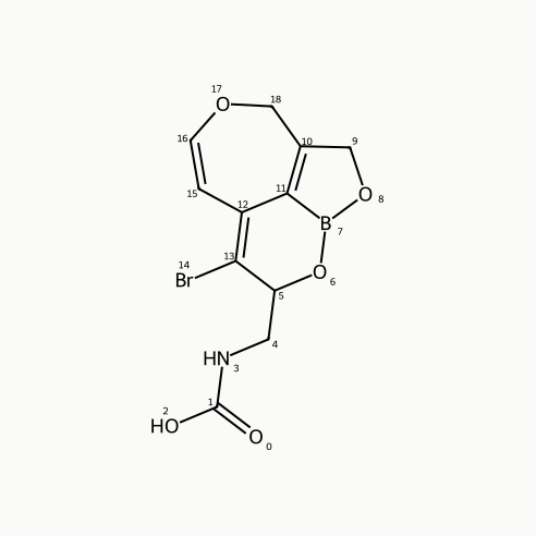 O=C(O)NCC1OB2OCC3=C2C(=C1Br)C=COC3